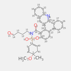 COC1(C)C=CC(S(=O)(=O)N(CCCC=O)C(=O)c2cccc3c4ccccc4c4nc5ccccc5cc4c23)=CC1